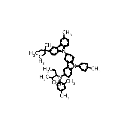 C=CC(C(C)C)N(c1ccc2c(c1)c1cc(-n3c4ccc(C)cc4c4cc(C(C)(CC)CC)ccc43)ccc1n2-c1ccc(C)cc1)c1ccc(C)cc1C